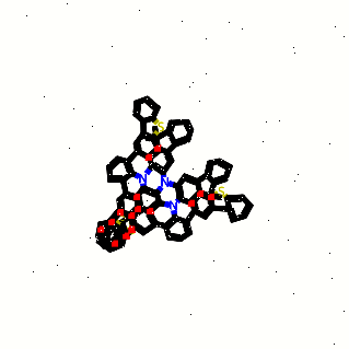 CC1(C)c2ccccc2-c2cc3c(cc21)N(c1c(-c2ccc4c(c2)C2C=CC=CC2S4)cccc1-c1ccc2sc4ccccc4c2c1)c1cc(C24CC5CC(CC(C5)C2)C4)cc2c1N3c1cc3c(cc1N2c1c(-c2ccc4sc5ccccc5c4c2)cccc1-c1ccc2sc4ccccc4c2c1)C(C)(C)c1ccccc1-3